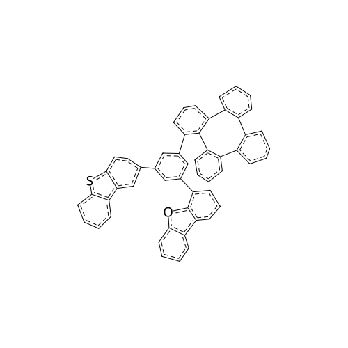 c1ccc2c(c1)-c1ccccc1-c1cccc(-c3cc(-c4ccc5sc6ccccc6c5c4)cc(-c4cccc5c4oc4ccccc45)c3)c1-c1ccccc1-2